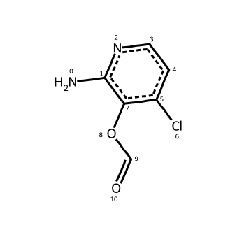 Nc1nccc(Cl)c1OC=O